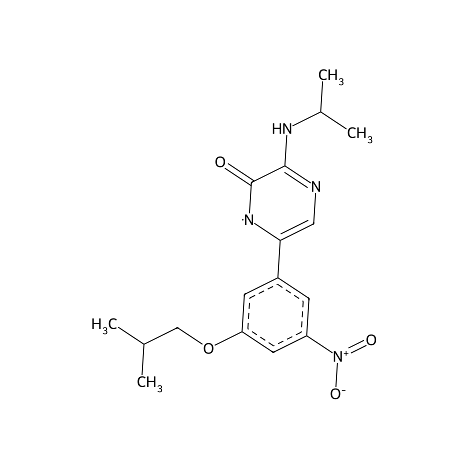 CC(C)COc1cc(C2=CN=C(NC(C)C)C(=O)[N]2)cc([N+](=O)[O-])c1